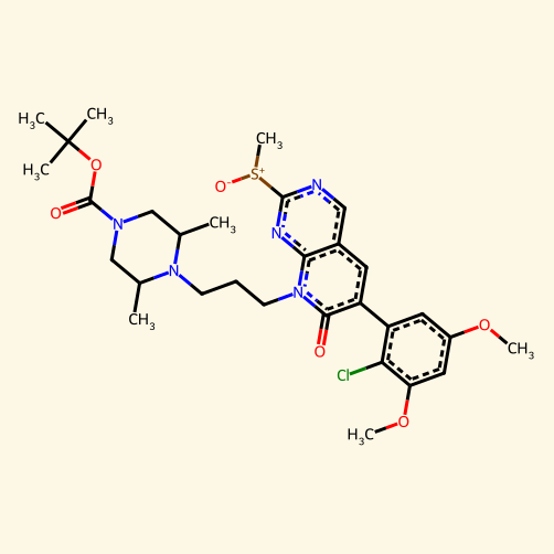 COc1cc(OC)c(Cl)c(-c2cc3cnc([S+](C)[O-])nc3n(CCCN3C(C)CN(C(=O)OC(C)(C)C)CC3C)c2=O)c1